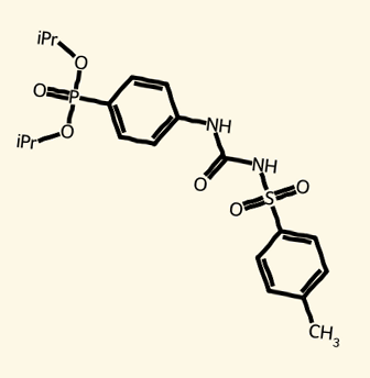 Cc1ccc(S(=O)(=O)NC(=O)Nc2ccc(P(=O)(OC(C)C)OC(C)C)cc2)cc1